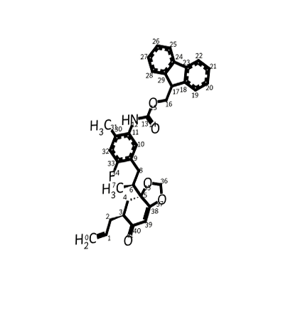 C=CC[C@H]1C[C@]2([C@@H](C)Cc3cc(NC(=O)OCC4c5ccccc5-c5ccccc54)c(C)cc3F)OCOC2=CC1=O